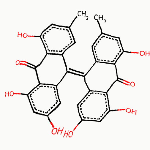 Cc1cc(O)c2c(c1)/C(=C1\c3cc(C)cc(O)c3C(=O)c3c(O)cc(O)cc31)c1cc(O)cc(O)c1C2=O